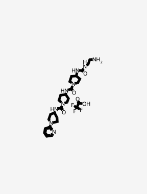 NCCNC(=O)NC1CCN(C(=O)NC2CCN(C(=O)NC3CCN(c4ccccn4)CC3)CC2)CC1.O=C(O)C(F)(F)F